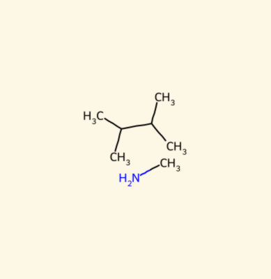 CC(C)C(C)C.CN